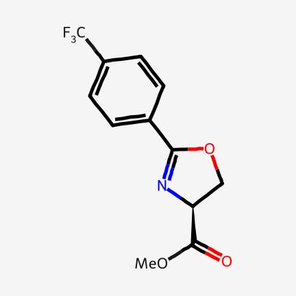 COC(=O)[C@@H]1COC(c2ccc(C(F)(F)F)cc2)=N1